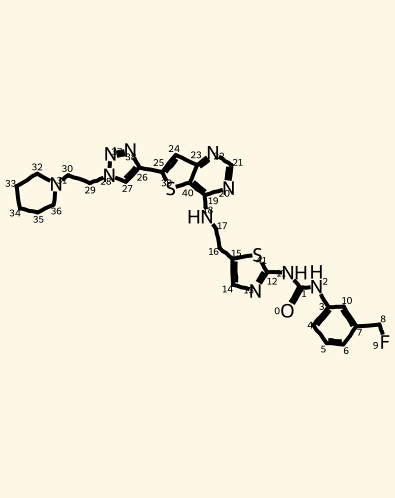 O=C(Nc1cccc(CF)c1)Nc1ncc(CCNc2ncnc3cc(-c4cn(CCN5CCCCC5)nn4)sc23)s1